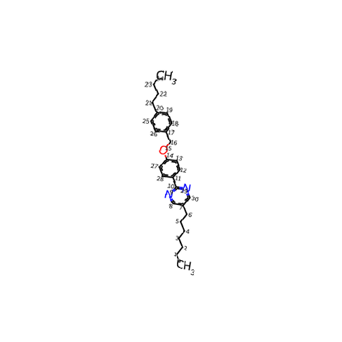 CCCCCCCc1cnc(-c2ccc(OCc3ccc(CCCC)cc3)cc2)nc1